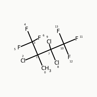 CC(Cl)(C(F)(F)F)C(Cl)(Cl)C(F)(F)F